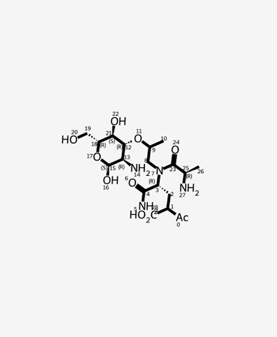 CC(=O)C(C[C@H](C(N)=O)N(CC(C)O[C@@H]1[C@@H](N)[C@@H](O)O[C@H](CO)[C@H]1O)C(=O)[C@@H](C)N)C(=O)O